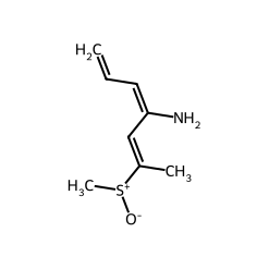 C=C/C=C(N)\C=C(/C)[S+](C)[O-]